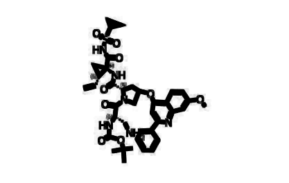 C=C[C@@H]1C[C@]1(NC(=O)[C@@H]1CC(Oc2cc(-c3ccccc3)nc3cc(OC)ccc23)CN1C(=O)[C@H](CN)NC(=O)OC(C)(C)C)C(=O)NS(=O)(=O)C1CC1